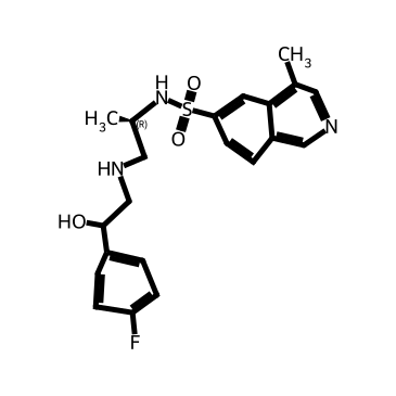 Cc1cncc2ccc(S(=O)(=O)N[C@H](C)CNCC(O)c3ccc(F)cc3)cc12